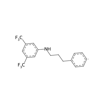 FC(F)(F)c1cc(NCCCc2cc[c]cc2)cc(C(F)(F)F)c1